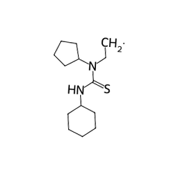 [CH2]CN(C(=S)NC1CCCCC1)C1CCCC1